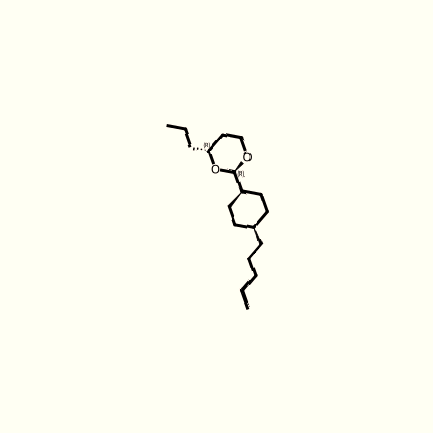 CCCCC[C@H]1CC[C@@H]([C@@H]2OCC[C@@H](CCC)O2)CC1